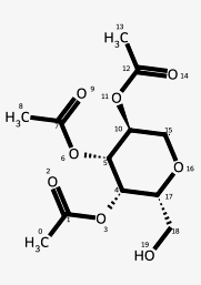 CC(=O)O[C@@H]1[C@H](OC(C)=O)[C@@H](OC(C)=O)[CH]O[C@@H]1CO